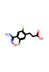 N/C(=N/O)c1cc(F)c(CCC(=O)O)cc1Cl